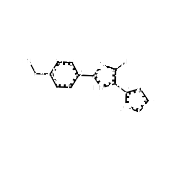 CCc1nc(-c2ccc(CN)cc2)[nH]c1-c1ccco1